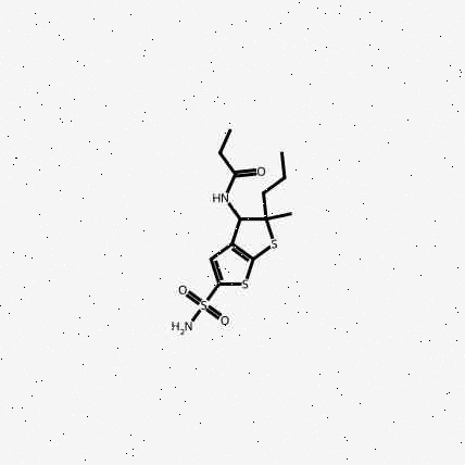 CCCC1(C)Sc2sc(S(N)(=O)=O)cc2C1NC(=O)CC